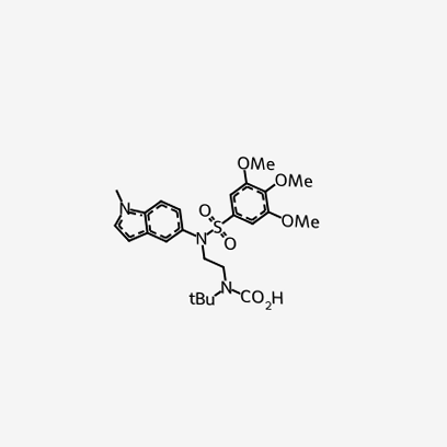 COc1cc(S(=O)(=O)N(CCN(C(=O)O)C(C)(C)C)c2ccc3c(ccn3C)c2)cc(OC)c1OC